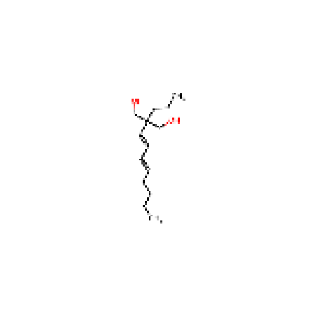 CCCCC=CC=CC(CO)(CO)CCC